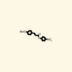 COc1ccc(/C=C/C(=O)Oc2ccc([N+](=O)[O-])cc2)cc1